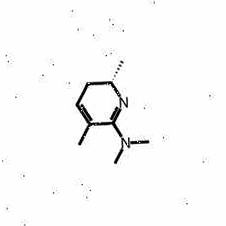 CC1=CC[C@H](C)N=C1N(C)C